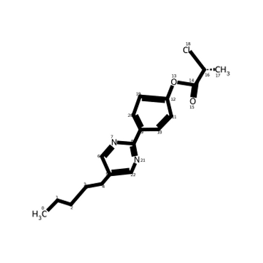 CCCCCc1cnc(-c2ccc(OC(=O)[C@@H](C)Cl)cc2)nc1